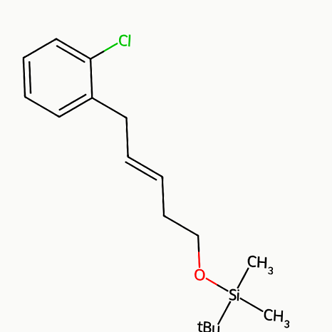 CC(C)(C)[Si](C)(C)OCCC=CCc1ccccc1Cl